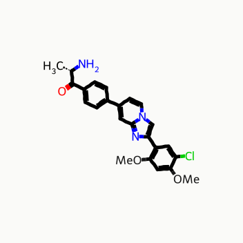 COc1cc(OC)c(-c2cn3ccc(-c4ccc(C(=O)[C@H](C)N)cc4)cc3n2)cc1Cl